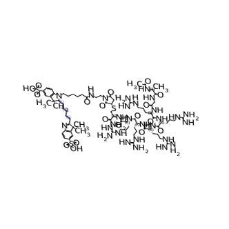 CC(=O)N[C@@H](C)C(=O)NCC(=O)N[C@H](CCCNC(=N)N)C(=O)N[C@H](CCCNC(=N)N)C(=O)N[C@H](CCCNC(=N)N)C(=O)N[C@H](CCCNC(=N)N)C(=O)N[C@H](CCCNC(=N)N)C(=O)N[C@H](CSC1CC(=O)N(CCNC(=O)CCCCCN2/C(=C/C=C/C=C/C3=Nc4ccc(S(=O)(=O)O)cc4C3(C)C)C(C)(C)c3cc(S(=O)(=O)O)ccc32)C1=O)C(N)=O